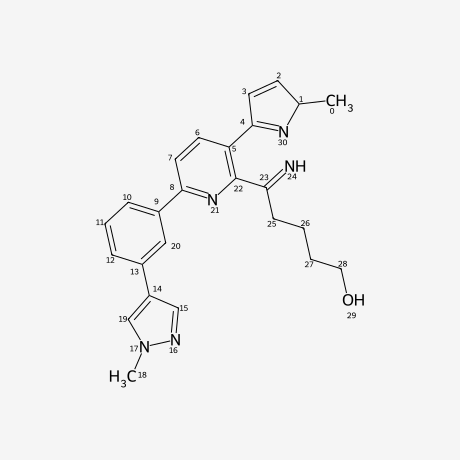 CC1C=CC(c2ccc(-c3cccc(-c4cnn(C)c4)c3)nc2C(=N)CCCCO)=N1